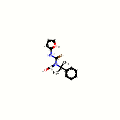 CC(C)(c1ccccc1)[N+](=C=O)C(=S)Nc1ccco1